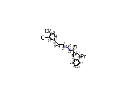 CC(/C=C/C1CC1c1ccc(Cl)c(Cl)c1)=C\C(=O)N(CC(C)C)Sc1ccccc1